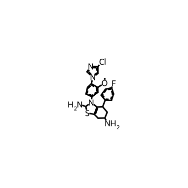 COc1cc(N2C3=C(CC(N)CC3c3ccc(F)cc3)SC2N)ccc1-n1cnc(Cl)c1